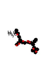 CC1(C)c2ccccc2-c2ccc(-c3ccc(-c4cc5c6cc7ccccc7cc6n6c7cc8ccc(-c9ccc%10cc%11c(cc%10c9)c9cc(-c%10ccc(C%12(c%13ccccc%13)c%13ccccc%13-c%13ccccc%13%12)cc%10)cc%10c%12cc%13ccccc%13cc%12n%11c%109)cc8cc7c(c4)c56)cc3)cc21